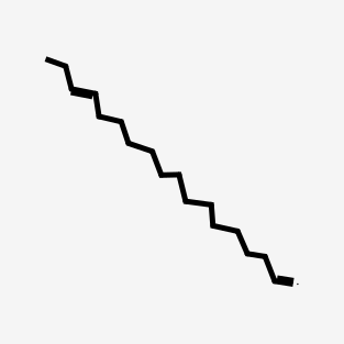 [CH]=CCCCCCCCCCCCCC=CCC